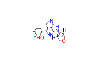 Cc1ccc(-c2nnc(NC3[C@@H]4CC[C@H]3COC4)c3cnccc23)c(O)c1F